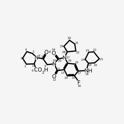 O=C(O)C1CCCCN1C(=O)Cn1c(=O)c2cc(F)c(NC3CCCCC3)cc2n(C2CCCC2)c1=O